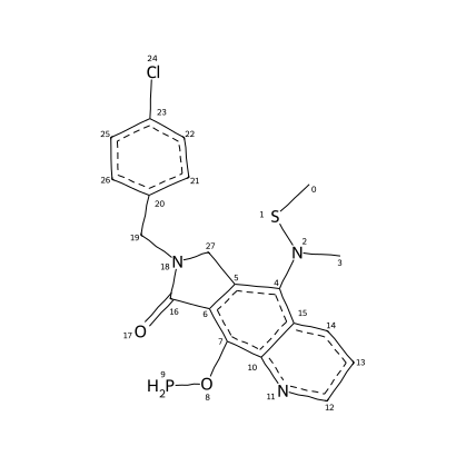 CSN(C)c1c2c(c(OP)c3ncccc13)C(=O)N(Cc1ccc(Cl)cc1)C2